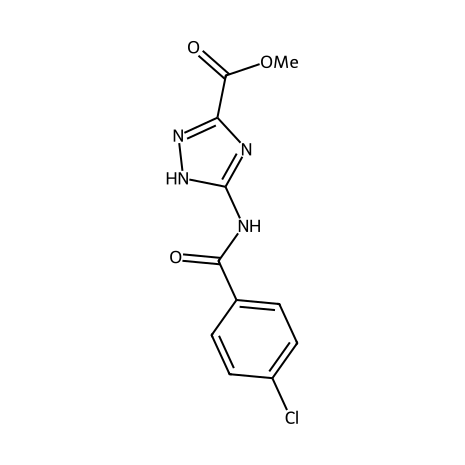 COC(=O)c1n[nH]c(NC(=O)c2ccc(Cl)cc2)n1